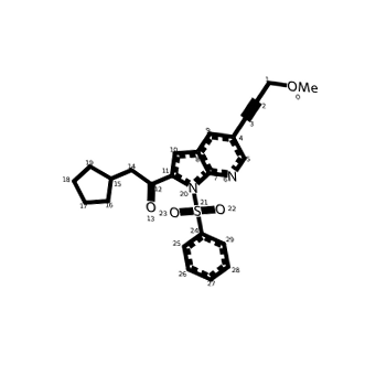 COCC#Cc1cnc2c(c1)cc(C(=O)CC1CCCC1)n2S(=O)(=O)c1ccccc1